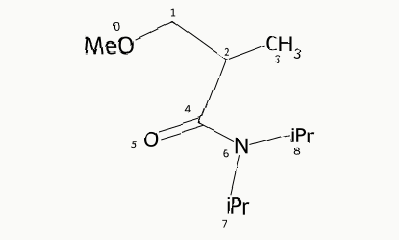 COCC(C)C(=O)N(C(C)C)C(C)C